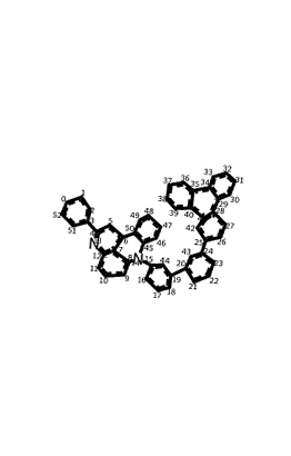 c1ccc(-c2cc3c4c(cccc4n2)N(c2cccc(-c4cccc(-c5ccc6c7ccccc7c7ccccc7c6c5)c4)c2)c2ccccc2-3)cc1